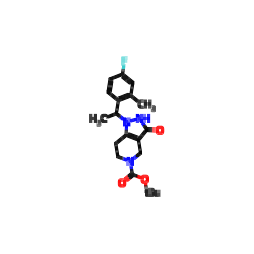 Cc1cc(F)ccc1C(C)n1[nH]c(=O)c2c1CCN(C(=O)OC(C)(C)C)C2